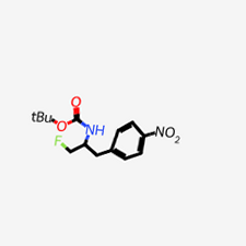 CC(C)(C)OC(=O)NC(CF)Cc1ccc([N+](=O)[O-])cc1